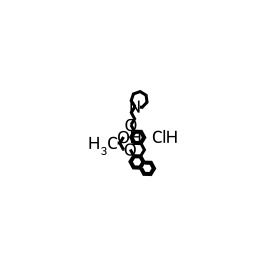 CC(O)COc1ccc2ccccc2c1Cc1ccc(OCCN2CCCCCC2)cc1.Cl